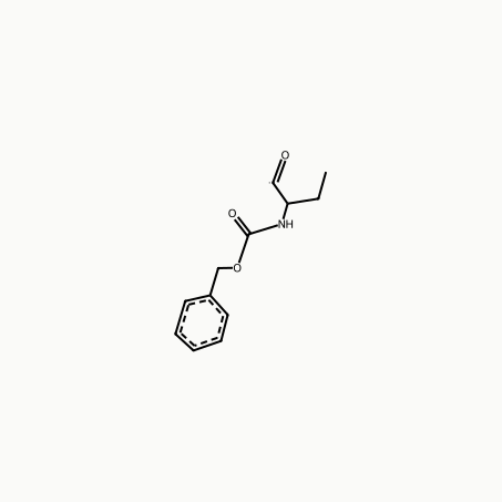 CCC([C]=O)NC(=O)OCc1ccccc1